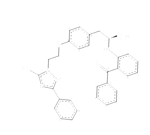 Cc1nc(-c2ccccc2)nn1CCOc1ccc(C[C@H](Nc2ccccc2C(=O)c2ccccc2)C(=O)O)cc1